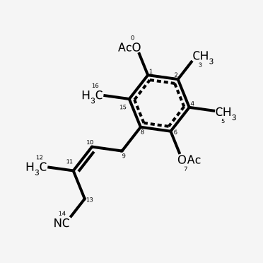 CC(=O)Oc1c(C)c(C)c(OC(C)=O)c(CC=C(C)CC#N)c1C